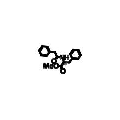 COC(=O)[C@H](Cc1ccccc1)NC(=O)Cc1ccccc1